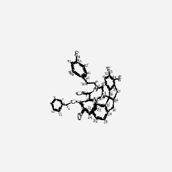 O=C1c2c(OCc3ccccc3)c(=O)ccn2N(C23c4ccccc4CC2Cc2c3ccc(F)c2F)CN1CCc1ccc(F)cc1